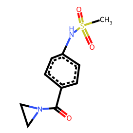 CS(=O)(=O)Nc1ccc(C(=O)N2CC2)cc1